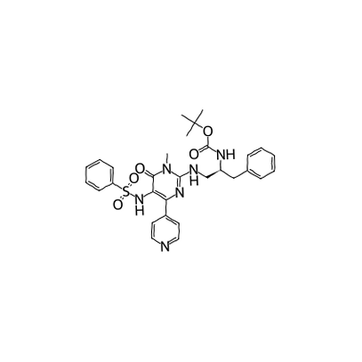 Cn1c(NC[C@H](Cc2ccccc2)NC(=O)OC(C)(C)C)nc(-c2ccncc2)c(NS(=O)(=O)c2ccccc2)c1=O